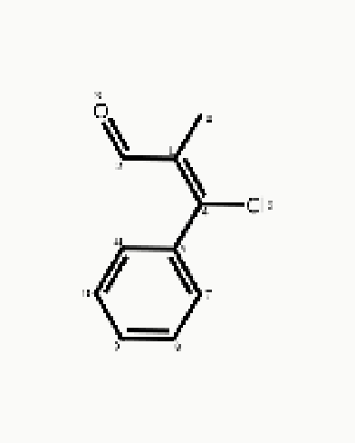 C/C(C=O)=C(\Cl)c1ccccc1